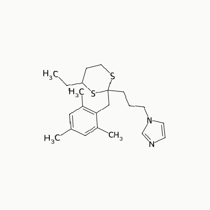 CCC1CCSC(CCCn2ccnc2)(Cc2c(C)cc(C)cc2C)S1